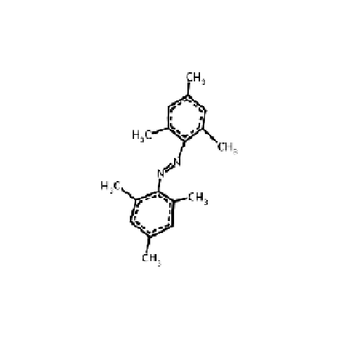 Cc1cc(C)c(N=Nc2c(C)cc(C)cc2C)c(C)c1